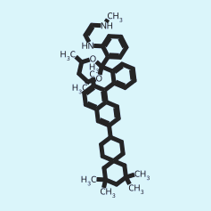 CN/C=C\Nc1ccccc1C1(c2ccccc2-c2c(C)ccc3cc(C4CCC5(CC4)CC(C)(C)CC(C)(C)C5)ccc23)OC(C)CC(C)O1